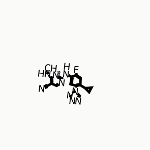 CNc1nc(Nc2cc(-n3cnnn3)c(C3CC3)cc2F)ncc1C#N